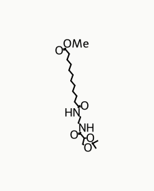 COC(=O)CCCCCCCCCCC(=O)NCCNC(=O)C1COC(C)(C)O1